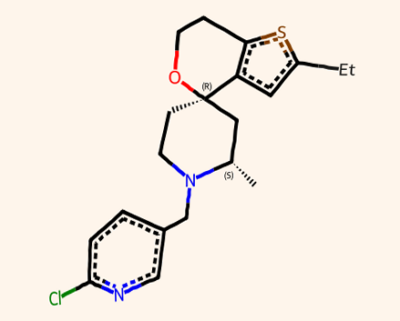 CCc1cc2c(s1)CCO[C@@]21CCN(Cc2ccc(Cl)nc2)[C@@H](C)C1